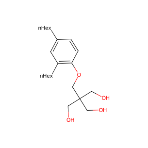 CCCCCCc1ccc(OCC(CO)(CO)CO)c(CCCCCC)c1